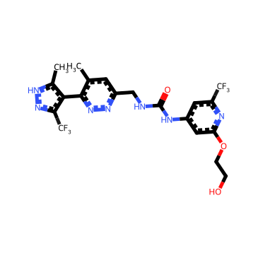 Cc1cc(CNC(=O)Nc2cc(OCCO)nc(C(F)(F)F)c2)nnc1-c1c(C(F)(F)F)n[nH]c1C